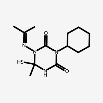 CC(C)=NN1C(=O)N(C2CCCCC2)C(=O)NC1(C)S